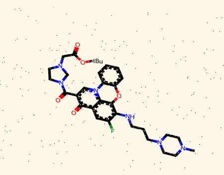 CN1CCN(CCCNc2c(F)cc3c(=O)c(C(=O)N4CCN(CC(=O)OC(C)(C)C)C4)cn4c3c2Oc2ccccc2-4)CC1